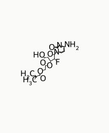 C=C(C)C(=O)OCC(=O)OC1C(F)[C@H](n2ccc(N)nc2=O)O[C@@H]1CO